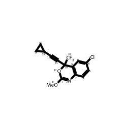 COC1=Nc2ccc(Cl)cc2C(C#CC2CC2)(C(F)(F)F)O1